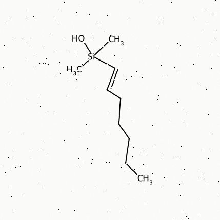 CCCCC/C=C/[Si](C)(C)O